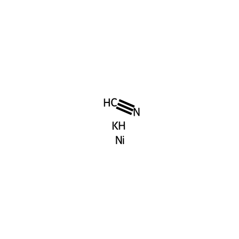 C#N.[KH].[Ni]